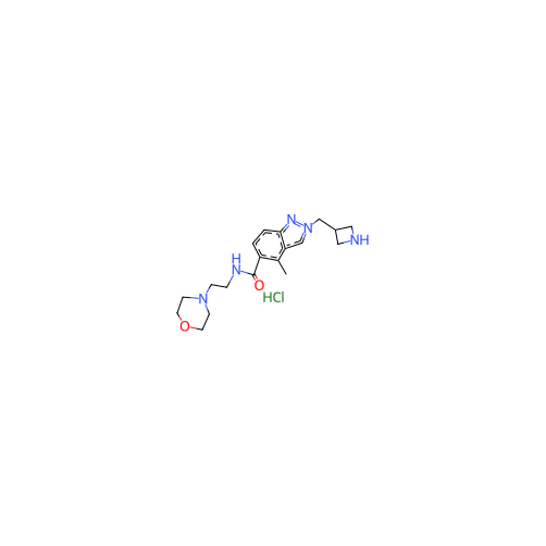 Cc1c(C(=O)NCCN2CCOCC2)ccc2nn(CC3CNC3)cc12.Cl